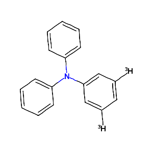 [3H]c1cc([3H])cc(N(c2ccccc2)c2ccccc2)c1